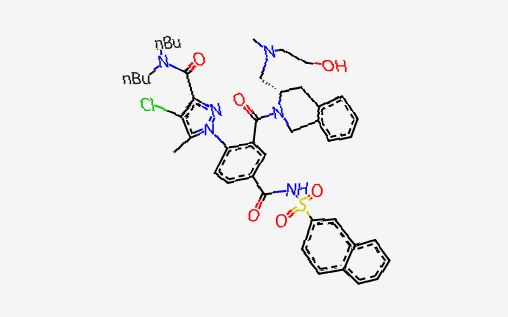 CCCCN(CCCC)C(=O)c1nn(-c2ccc(C(=O)NS(=O)(=O)c3ccc4ccccc4c3)cc2C(=O)N2Cc3ccccc3C[C@H]2CN(C)CCO)c(C)c1Cl